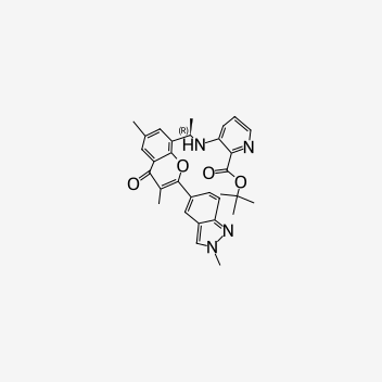 Cc1cc([C@@H](C)Nc2cccnc2C(=O)OC(C)(C)C)c2oc(-c3ccc4nn(C)cc4c3)c(C)c(=O)c2c1